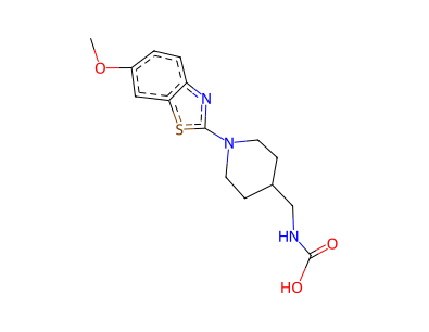 COc1ccc2nc(N3CCC(CNC(=O)O)CC3)sc2c1